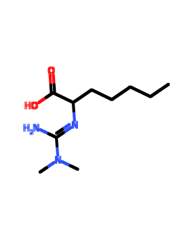 CCCCCC(N=C(N)N(C)C)C(=O)O